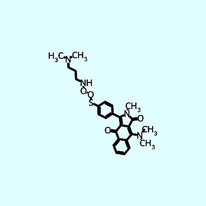 CN(C)CCCNOOSc1ccc(C2=C3C(=O)c4ccccc4C(N(C)C)=C3C(=O)N2C)cc1